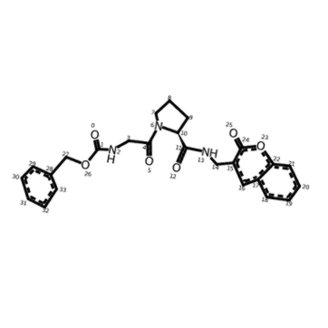 O=C(NCC(=O)N1CCC[C@H]1C(=O)NCc1cc2ccccc2oc1=O)OCc1ccccc1